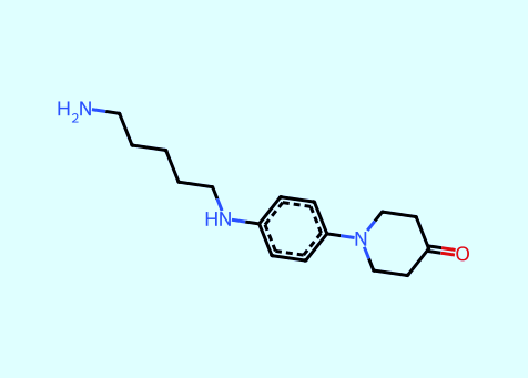 NCCCCCNc1ccc(N2CCC(=O)CC2)cc1